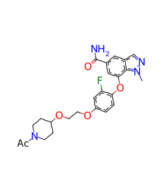 CC(=O)N1CCC(OCCOc2ccc(Oc3cc(C(N)=O)cc4cnn(C)c34)c(F)c2)CC1